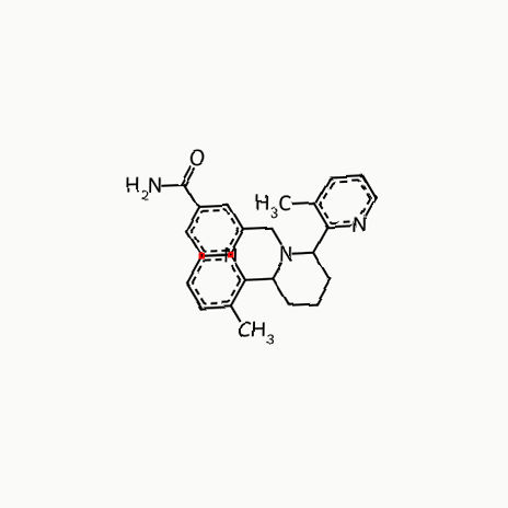 Cc1cccnc1C1CCCC(c2ncccc2C)N1Cc1cccc(C(N)=O)c1